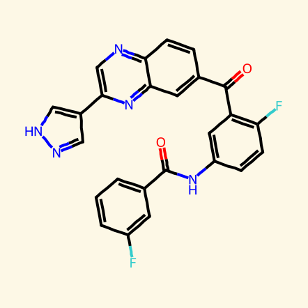 O=C(Nc1ccc(F)c(C(=O)c2ccc3ncc(-c4cn[nH]c4)nc3c2)c1)c1cccc(F)c1